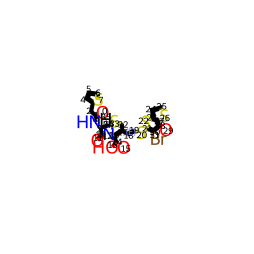 O=C(Cc1cccs1)NC1C(=O)N2C(C(=O)O)=C(/C=C/Sc3sc4ccsc4c(=O)c3Br)CS[C@H]12